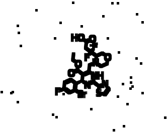 CCOC(=O)C1=C(CN2CCOCC2C(F)(F)CC(=O)O)NC(c2nccs2)=N[C@H]1c1ccc(F)cc1Br